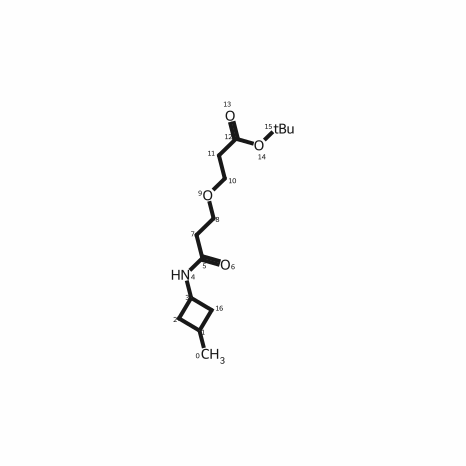 CC1CC(NC(=O)CCOCCC(=O)OC(C)(C)C)C1